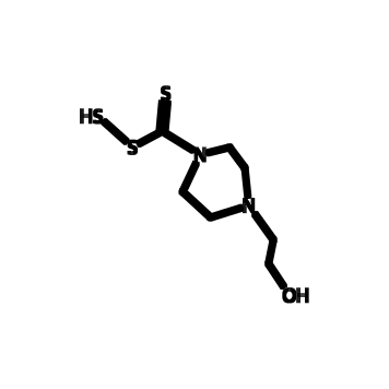 OCCN1CCN(C(=S)SS)CC1